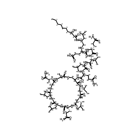 CCCCCCC[C@@H](O)CC(=O)N[C@H](CN[C@H](CCC(=O)O)C(=O)N[C@H](CCC(N)=O)C(=O)N[C@@H](C(=O)N[C@H](CC(C)C)C(=O)N[C@@H](CCC(N)=O)C(=O)N[C@@H]1COC(=O)[C@H](C)NC(=O)[C@@H](CCC(N)=O)NC(=O)[C@H](CC(C)C)NC(=O)[C@H](CC(C)C)NC(=O)[C@@H](CCC(N)=O)NC(=O)[C@@H](CC(C)C)NC(=O)[C@@H](C(C)C)NC1=O)C(C)C)CC(C)C